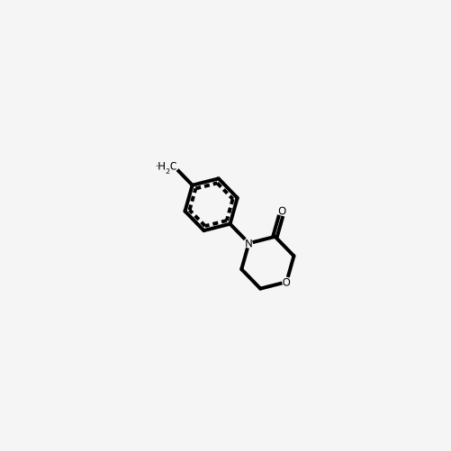 [CH2]c1ccc(N2CCOCC2=O)cc1